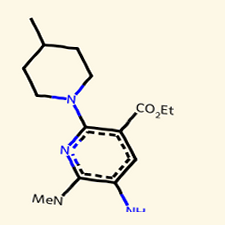 CCOC(=O)c1cc(N)c(NC)nc1N1CCC(C)CC1